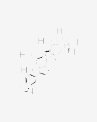 CC1=C2C=C3[C@@H](O)[C@H](O)[C@@H](N(C)C)C[C@]34CC[C@]2(O4)C2CC=C(c3ccc4ocnc4c3)[C@@]2(C)C1